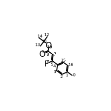 Cc1ccc(C(F)=CC(=O)OC(C)(C)C)cc1